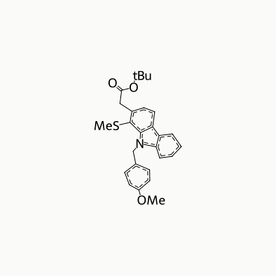 COc1ccc(Cn2c3ccccc3c3ccc(CC(=O)OC(C)(C)C)c(SC)c32)cc1